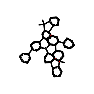 CC1(C)c2ccccc2-c2ccc(-c3ccc(-c4ccccc4)cc3N(c3ccc4c(c3)C(C)(C)c3ccccc3-4)c3cccc(-c4ccccc4)c3-c3ccccc3)cc21